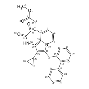 COC(=O)COc1cccn2c(Cc3ccccc3-c3ccccc3)c(C3CC3)c(NC(=O)C=O)c12